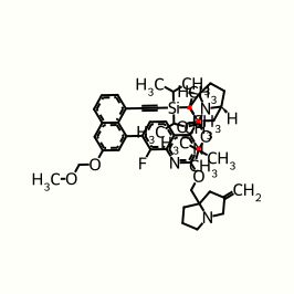 C=C1CN2CCCC2(COc2nc(N3C[C@H]4CC[C@@H](C3)N4C(=O)OC(C)(C)C)c3ccc(-c4cc(OCOC)cc5cccc(C#C[Si](C(C)C)(C(C)C)C(C)C)c45)c(F)c3n2)C1